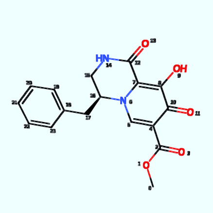 COC(=O)c1cn2c(c(O)c1=O)C(=O)NC[C@@H]2Cc1ccccc1